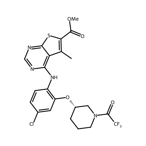 COC(=O)c1sc2ncnc(Nc3ccc(Cl)cc3O[C@H]3CCCN(C(=O)C(F)(F)F)C3)c2c1C